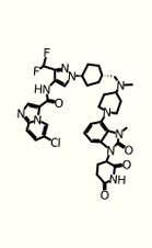 CN(C[C@H]1CC[C@H](n2cc(NC(=O)c3cnc4ccc(Cl)cn34)c(C(F)F)n2)CC1)C1CCN(c2cccc3c2n(C)c(=O)n3C2CCC(=O)NC2=O)CC1